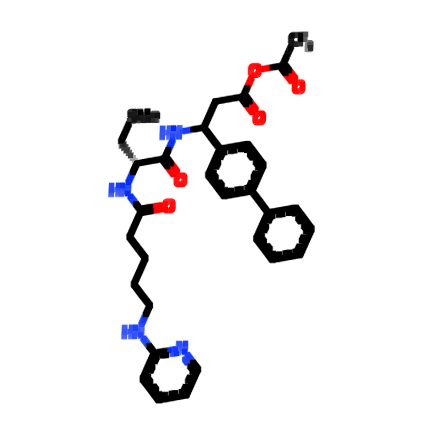 CSC[C@@H](NC(=O)CCCCNc1ccccn1)C(=O)NC(CC(=O)OC(=O)C(F)(F)F)c1ccc(-c2ccccc2)cc1